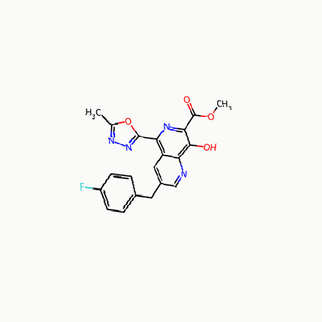 COC(=O)c1nc(-c2nnc(C)o2)c2cc(Cc3ccc(F)cc3)cnc2c1O